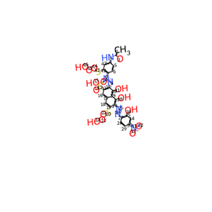 CC(=O)Nc1ccc(/N=N/c2c(S(=O)(=O)O)cc3cc(SOOO)c(/N=N/c4ccc([N+](=O)[O-])cc4O)c(O)c3c2O)c(SOOO)c1